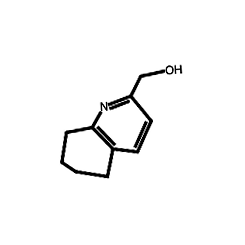 OCc1ccc2c(n1)CCCC2